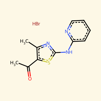 Br.CC(=O)c1sc(Nc2ccccn2)nc1C